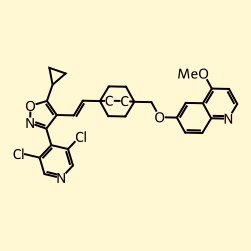 COc1ccnc2ccc(OCC34CCC(/C=C/c5c(-c6c(Cl)cncc6Cl)noc5C5CC5)(CC3)CC4)cc12